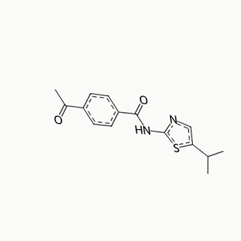 CC(=O)c1ccc(C(=O)Nc2ncc(C(C)C)s2)cc1